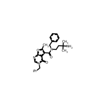 Cc1oc2ncn(CC(C)C)c(=O)c2c1C(=O)N(CCC(C)(C)N)Cc1ccccc1